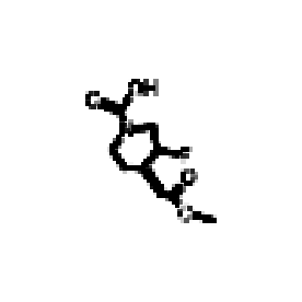 COC(=O)/C=C1/CCN(C(=O)O)CC1F